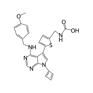 COc1ccc(CNc2ncnc3c2c(-c2ccc(CNC(=O)O)s2)cn3C2=CC=C2)cc1